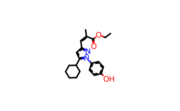 CCOC(=O)C(C)=Cc1cc(C2CCCCC2)n(-c2ccc(O)cc2)n1